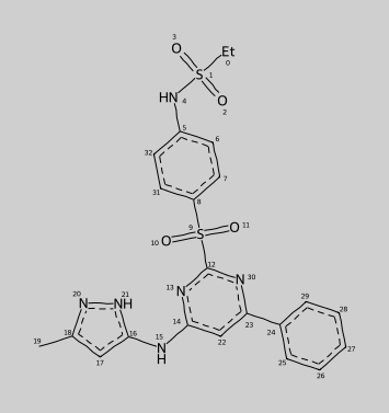 CCS(=O)(=O)Nc1ccc(S(=O)(=O)c2nc(Nc3cc(C)n[nH]3)cc(-c3ccccc3)n2)cc1